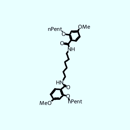 CCCCCOc1cc(OC)ccc1C(=O)NCCCCCCNC(=O)c1ccc(OC)cc1OCCCCC